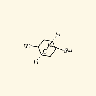 CC(C)C1C[C@H]2CC[C@@H]1CN2C(C)(C)C